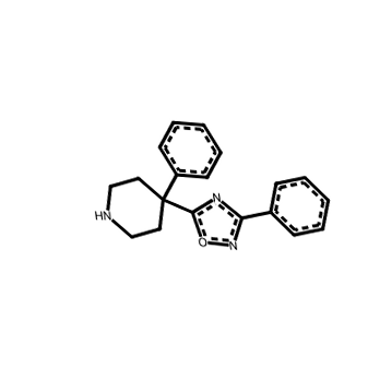 c1ccc(-c2noc(C3(c4ccccc4)CCNCC3)n2)cc1